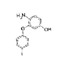 Cc1ccc(Oc2cc(O)ccc2N)cc1